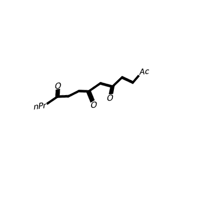 CCCC(=O)CCC(=O)CC(=O)CCC(C)=O